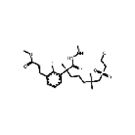 CNNC(=O)[C@](C)(CCCC(C)(C)CS(=O)(=O)CCO)c1cccc(CCC(=O)OC)c1F